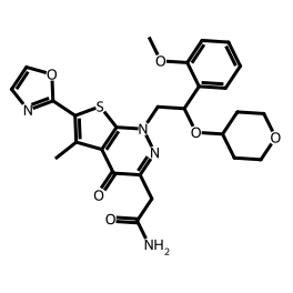 COc1ccccc1C(Cn1nc(CC(N)=O)c(=O)c2c(C)c(-c3ncco3)sc21)OC1CCOCC1